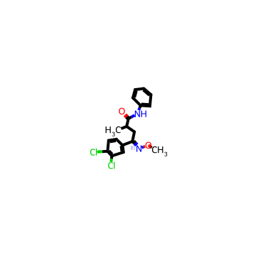 CO/N=C(\CC(C)C(=O)Nc1ccccc1)c1ccc(Cl)c(Cl)c1